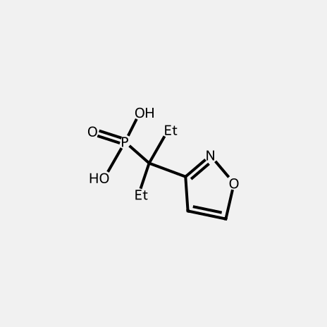 CCC(CC)(c1ccon1)P(=O)(O)O